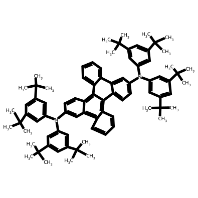 CC(C)(C)c1cc(N(c2cc(C(C)(C)C)cc(C(C)(C)C)c2)c2ccc3c(c2)c2ccccc2c2c4ccc(N(c5cc(C(C)(C)C)cc(C(C)(C)C)c5)c5cc(C(C)(C)C)cc(C(C)(C)C)c5)cc4c4ccccc4c32)cc(C(C)(C)C)c1